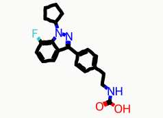 O=C(O)NCCc1ccc(-c2nn(C3CCCC3)c3c(F)cccc23)cc1